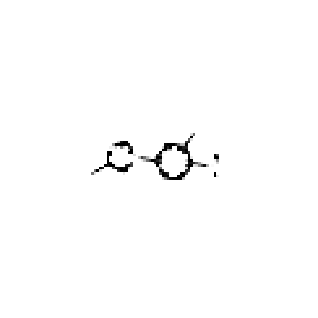 Cc1cn(-c2ccc([N+](=O)[O-])c(C)c2)cn1